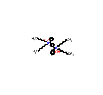 CCCCCCCCN(CCCCCCCC)C(c1ccc(C(c2ccccc2O)N(CCCCCCCC)CCCCCCCC)cc1)c1ccccc1O